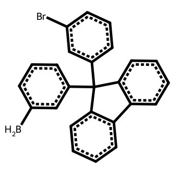 Bc1cccc(C2(c3cccc(Br)c3)c3ccccc3-c3ccccc32)c1